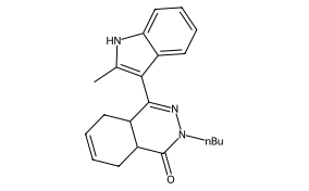 CCCCN1N=C(c2c(C)[nH]c3ccccc23)C2CC=CCC2C1=O